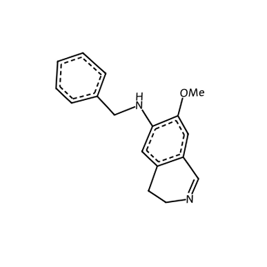 COc1cc2c(cc1NCc1ccccc1)CCN=C2